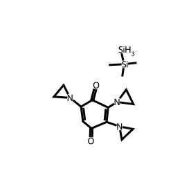 C[Si](C)(C)[SiH3].O=C1C=C(N2CC2)C(=O)C(N2CC2)=C1N1CC1